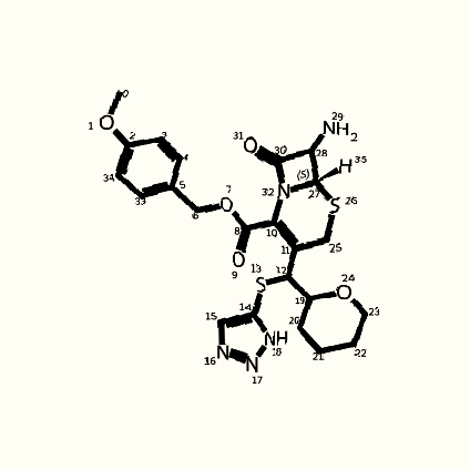 COc1ccc(COC(=O)C2=C(C(Sc3cnn[nH]3)C3CCCCO3)CS[C@H]3C(N)C(=O)N23)cc1